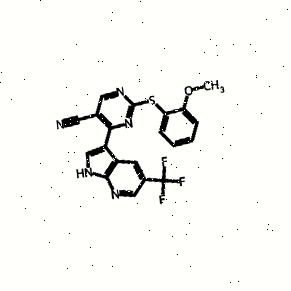 COc1ccccc1Sc1ncc(C#N)c(-c2c[nH]c3ncc(C(F)(F)F)cc23)n1